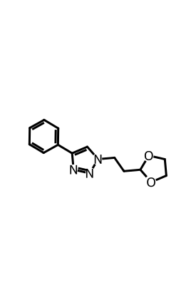 c1ccc(-c2cn(CCC3OCCO3)nn2)cc1